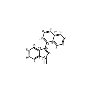 c1ccc2c(-c3c[nH]c4ccccc34)cccc2c1